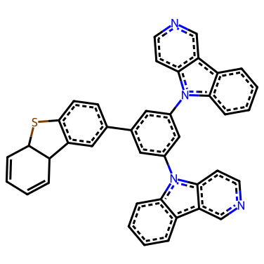 C1=CC2Sc3ccc(-c4cc(-n5c6ccccc6c6cnccc65)cc(-n5c6ccccc6c6cnccc65)c4)cc3C2C=C1